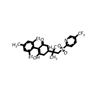 CCc1cc(C)cc(CC)c1C1=C(O)CC(C(C)(C)CS(=O)(=O)c2ccc(C(F)(F)F)cn2)CC1=O